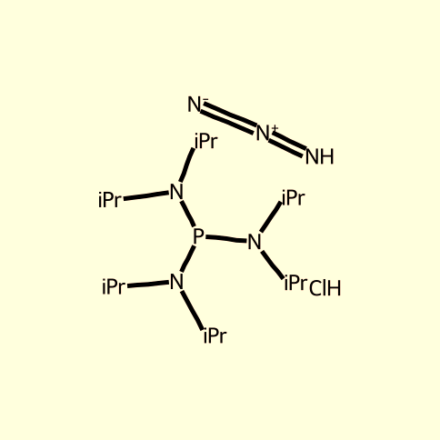 CC(C)N(C(C)C)P(N(C(C)C)C(C)C)N(C(C)C)C(C)C.Cl.[N-]=[N+]=N